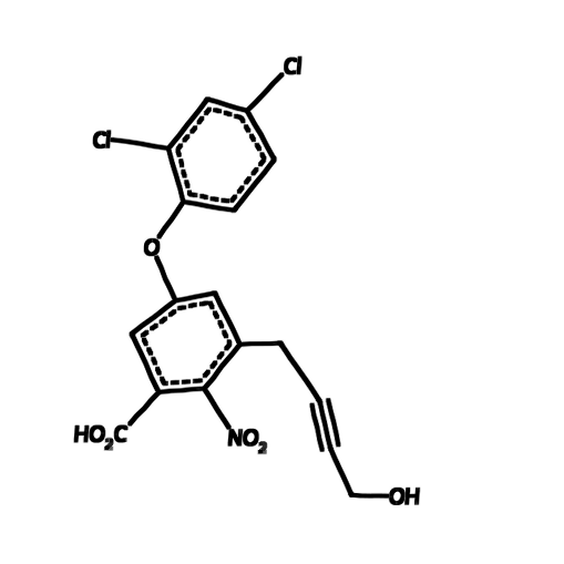 O=C(O)c1cc(Oc2ccc(Cl)cc2Cl)cc(CC#CCO)c1[N+](=O)[O-]